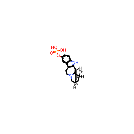 CC[C@H]1C[C@H]2C[C@H]3c4[nH]c5ccc(OP(=O)(O)O)cc5c4CCN(C2)C13